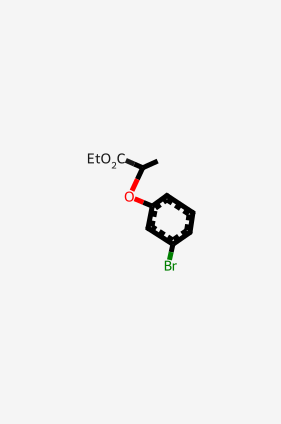 CCOC(=O)C(C)Oc1cccc(Br)c1